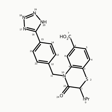 CCCC1Sc2ccc(C(=O)O)cc2N(Cc2ccc(-c3nnn[nH]3)cc2)C1=O